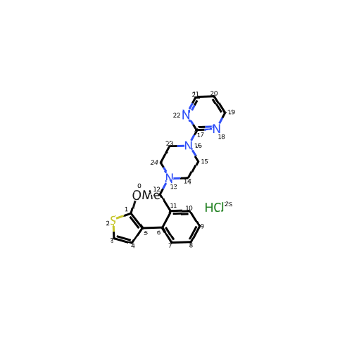 COc1sccc1-c1ccccc1CN1CCN(c2ncccn2)CC1.Cl